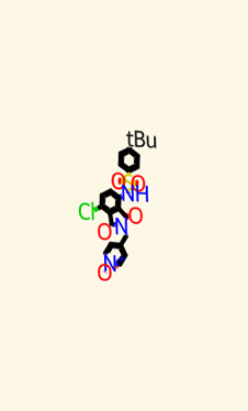 CC(C)(C)c1ccc(S(=O)(=O)Nc2ccc(Cl)c3c2C(=O)N(Cc2cc[n+]([O-])cc2)C3=O)cc1